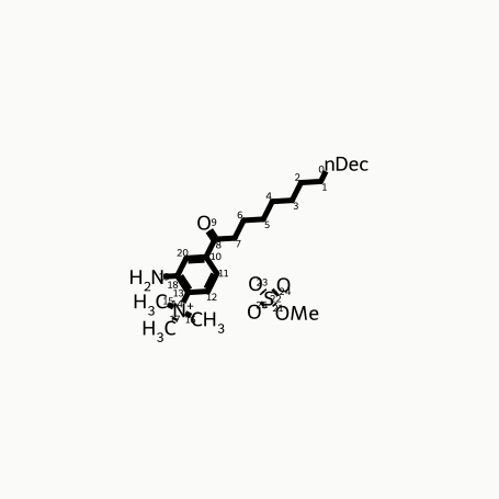 CCCCCCCCCCCCCCCCCC(=O)c1ccc([N+](C)(C)C)c(N)c1.COS(=O)(=O)[O-]